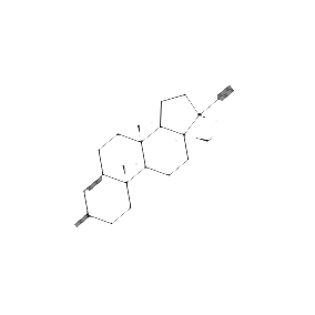 C#C[C@@]1(O)CC[C@@H]2[C@H]3CCC4=CC(=O)CC[C@H]4[C@@H]3CC[C@]21CC